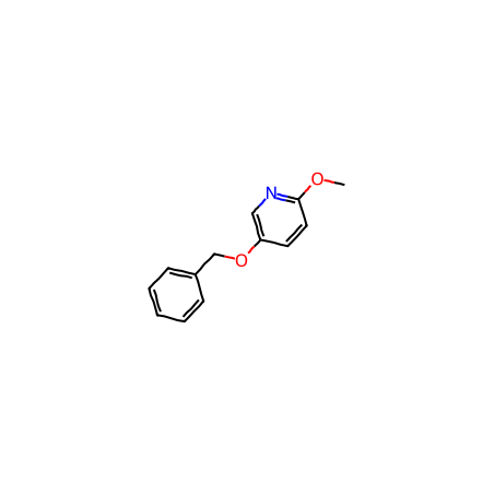 COc1ccc(OCc2ccccc2)cn1